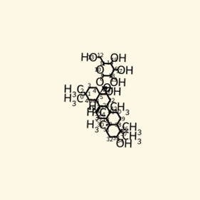 CC1(C)CC[C@]2(C(=O)O[C@H]3OC(CO)[C@@H](O)[C@@H](O)C3O)[C@H](O)C[C@]3(C)C(=CCC4[C@@]5(C)CC[C@H](O)C(C)(C)C5CC[C@]43C)[C@@H]2C1